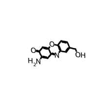 Nc1cc2nc3cc(CO)ccc3oc-2cc1=O